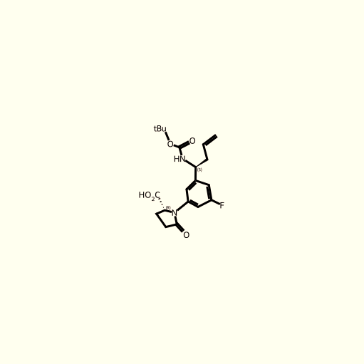 C=CC[C@H](NC(=O)OC(C)(C)C)c1cc(F)cc(N2C(=O)CC[C@@H]2C(=O)O)c1